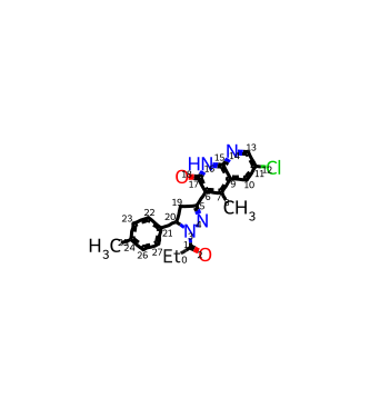 CCC(=O)N1N=C(c2c(C)c3cc(Cl)cnc3[nH]c2=O)CC1c1ccc(C)cc1